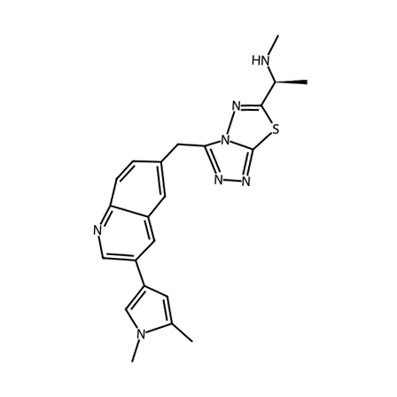 CN[C@@H](C)c1nn2c(Cc3ccc4ncc(-c5cc(C)n(C)c5)cc4c3)nnc2s1